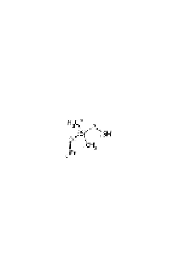 CC(C)O[Si](C)(C)CS